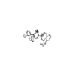 N[C@@H]1CCCC12CCN(c1cnc(-c3cccc(Cl)c3Cl)c(O)c1)CC2